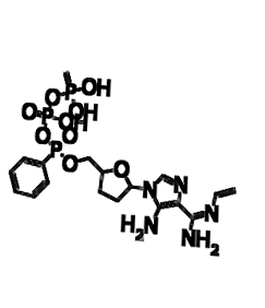 C=C/N=C(/N)c1ncn(C2CCC(COP(=O)(OP(=O)(O)OP(=C)(O)O)c3ccccc3)O2)c1N